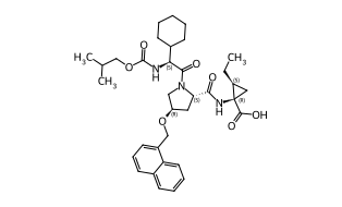 CC[C@H]1C[C@]1(NC(=O)[C@@H]1C[C@@H](OCc2cccc3ccccc23)CN1C(=O)[C@@H](NC(=O)OCC(C)C)C1CCCCC1)C(=O)O